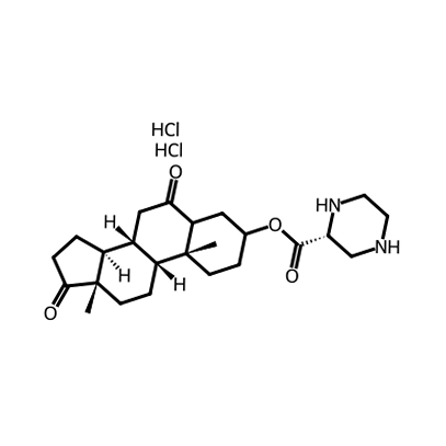 C[C@]12CCC(OC(=O)[C@H]3CNCCN3)CC1C(=O)C[C@@H]1[C@H]2CC[C@]2(C)C(=O)CC[C@@H]12.Cl.Cl